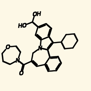 O=C(C1=Cc2ccccc2-c2c(C3CCCCC3)c3ccc(C(O)O)cc3n2C1)N1CCCOCC1